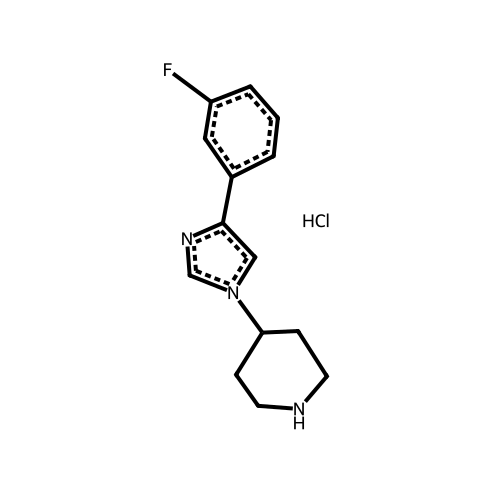 Cl.Fc1cccc(-c2cn(C3CCNCC3)cn2)c1